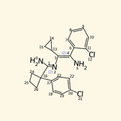 N/C(=N\C(=C(/N)c1ccccc1Cl)C1CC1)C1(c2ccc(Cl)cc2)CCC1